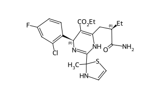 CCOC(=O)C1=C(C[C@@H](CC)C(N)=O)NC(C2(C)NC=CS2)=N[C@H]1c1ccc(F)cc1Cl